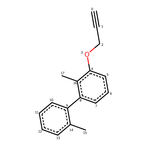 C#CCOc1cccc(-c2ccccc2C)c1C